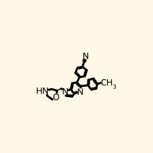 Cc1ccc(-c2nc3ccn(C[C@@H]4CNCCO4)c3cc2-c2ccc(C#N)cc2)cc1